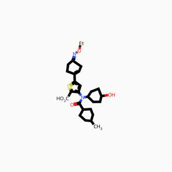 CCON=C1CC=C(c2cc(N(C(=O)C3CCC(C)CC3)C3CCC(O)CC3)c(C(=O)O)s2)CC1